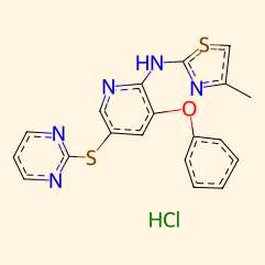 Cc1csc(Nc2ncc(Sc3ncccn3)cc2Oc2ccccc2)n1.Cl